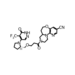 N#Cc1cnc2c(c1)OCCC1CN(C(=O)CCOC[C@@H]3CCCN3c3cn[nH]c(=O)c3C(F)(F)F)CCN21